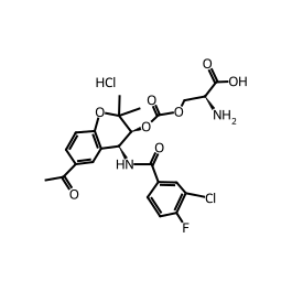 CC(=O)c1ccc2c(c1)[C@H](NC(=O)c1ccc(F)c(Cl)c1)[C@H](OC(=O)OC[C@H](N)C(=O)O)C(C)(C)O2.Cl